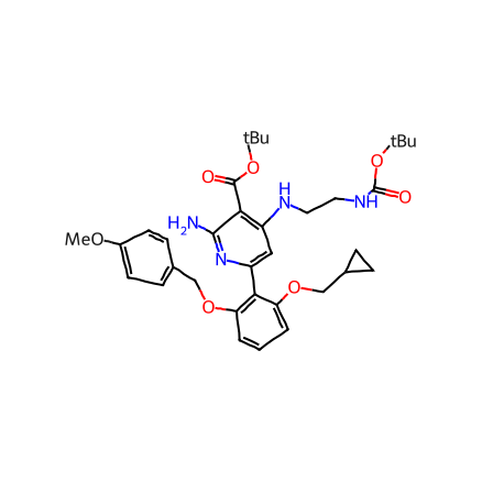 COc1ccc(COc2cccc(OCC3CC3)c2-c2cc(NCCNC(=O)OC(C)(C)C)c(C(=O)OC(C)(C)C)c(N)n2)cc1